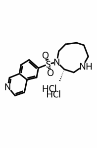 C[C@H]1CNCCCCCN1S(=O)(=O)c1ccc2cnccc2c1.Cl.Cl